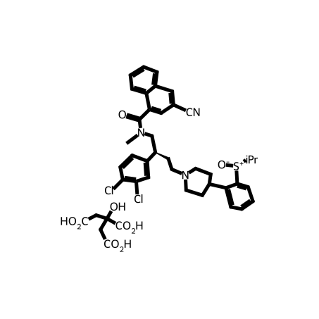 CC(C)[S+]([O-])c1ccccc1C1CCN(CC[C@H](CN(C)C(=O)c2cc(C#N)cc3ccccc23)c2ccc(Cl)c(Cl)c2)CC1.O=C(O)CC(O)(CC(=O)O)C(=O)O